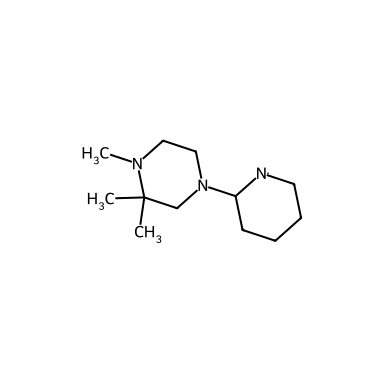 CN1CCN(C2CCCC[N]2)CC1(C)C